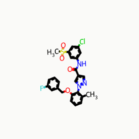 Cc1cccc(OCc2cccc(F)c2)c1-n1cc(C(=O)Nc2cc(Cl)cc(S(C)(=O)=O)c2)cn1